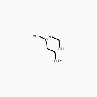 CC(C)CO.CCCCOCCOC(C)=O